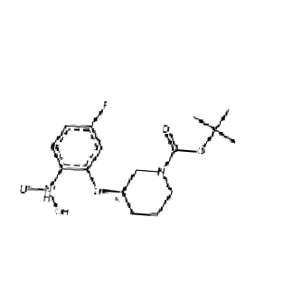 CC(C)(C)OC(=O)N1CCC[C@@H](Oc2cc(F)ccc2[NH+]([O-])O)C1